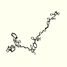 O=C(COCCOCCOCCNC(=O)C1CCC(CN2C(=O)CC(SCCCCC[C@H](NC(=O)[C@H]3CCC(=O)N3)C(=O)Nc3ccccc3)C2=O)CC1)NCCN1C(=O)C=CC1=O